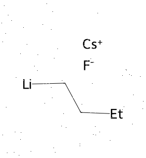 [Cs+].[F-].[Li][CH2]CCC